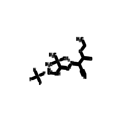 CCOC(=O)C(C#N)=N[O+]=C(NC)[N+](C)(C)C.F[B-](F)(F)F